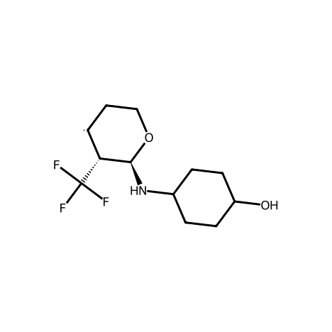 OC1CCC(N[C@@H]2OCC[CH][C@H]2C(F)(F)F)CC1